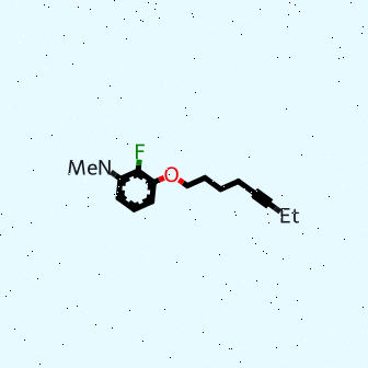 CCC#CCCCCOc1cccc(NC)c1F